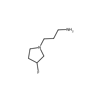 NCCCN1CCC(F)C1